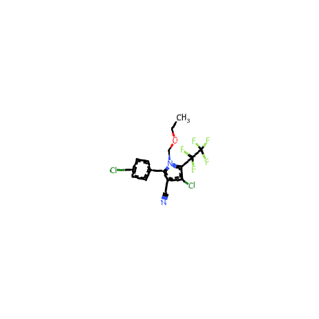 CCOCn1c(-c2ccc(Cl)cc2)c(C#N)c(Cl)c1C(F)(F)C(F)(F)F